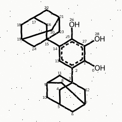 Oc1c(C23CC4CC(CC(C4)C2)C3)cc(C23CC4CC(CC(C4)C2)C3)c(O)c1O